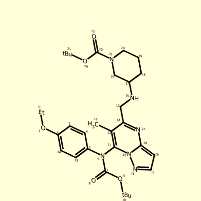 CCOc1ccc(N(C(=O)OC(C)(C)C)c2c(C)c(CNC3CCCN(C(=O)OC(C)(C)C)C3)nc3ccnn23)cc1